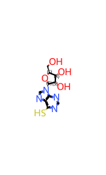 OC[C@@H]1O[C@H](n2cnc3c(S)ncnc32)[C@@H](O)[C@H]1O